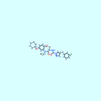 CN1C(=O)[C@@H](NC(=O)n2cc(Cc3cccc(F)c3)cn2)COc2ccc(OC3CCCCC3)cc21